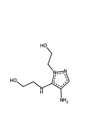 Nc1cnn(CCO)c1NCCO